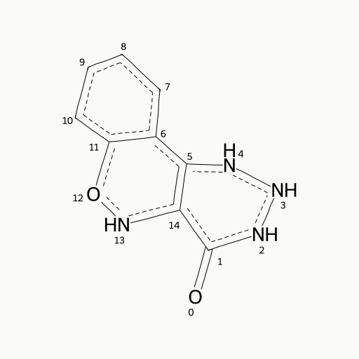 O=c1[nH][nH][nH]c2c3ccccc3o[nH]c1=2